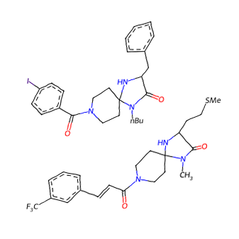 CCCCN1C(=O)C(Cc2ccccc2)NC12CCN(C(=O)c1ccc(I)cc1)CC2.CSCCC1NC2(CCN(C(=O)C=Cc3cccc(C(F)(F)F)c3)CC2)N(C)C1=O